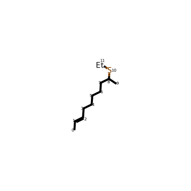 CC=CCCCCCC(C)SCC